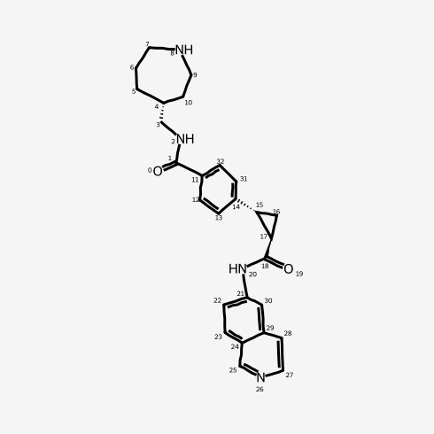 O=C(NC[C@@H]1CCCNCC1)c1ccc([C@@H]2C[C@H]2C(=O)Nc2ccc3cnccc3c2)cc1